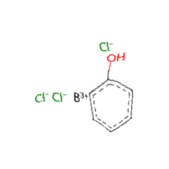 Oc1ccccc1.[B+3].[Cl-].[Cl-].[Cl-]